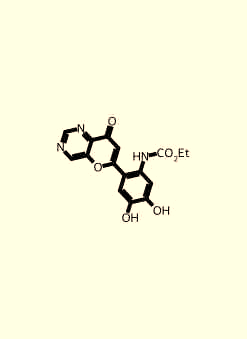 CCOC(=O)Nc1cc(O)c(O)cc1-c1cc(=O)c2ncncc2o1